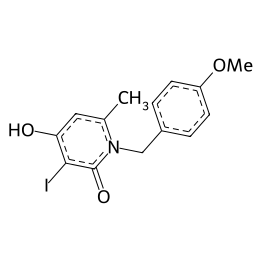 COc1ccc(Cn2c(C)cc(O)c(I)c2=O)cc1